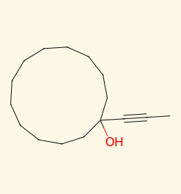 CC#CC1(O)CCCCCCCCCCCC1